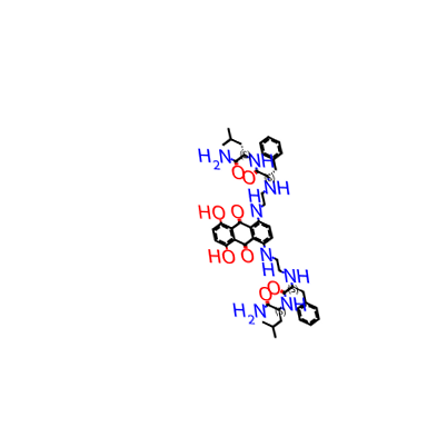 CC(C)C[C@H](NC(=O)[C@H](Cc1ccccc1)NCCNc1ccc(NCCN[C@@H](Cc2ccccc2)C(=O)N[C@@H](CC(C)C)C(N)=O)c2c1C(=O)c1c(O)ccc(O)c1C2=O)C(N)=O